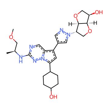 COC[C@H](C)Nc1ncc2c(-c3cnn([C@H]4CO[C@H]5[C@@H]4OC[C@H]5O)c3)cc(C3CCC(O)CC3)n2n1